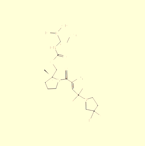 CC(C)(C)C[C@H](NC(=O)OC[C@@]1(C)CCCN1C(=O)C(C#N)=CC(C)(C)N1CCC(F)(F)C1)B(O)O